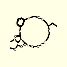 CCC1CCCCCCOC[C@@H](OCOC)N(COC)C(=O)Cc2cc(ccn2)OCCCC1